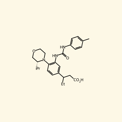 CCC(CC(=O)O)c1ccc(N2CCOC[C@H]2C(C)C)c(NC(=O)Nc2ccc(C)cc2)c1